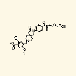 CCOc1cc(C(=O)OC)c(C2CC2)cc1CN1CCC2(CC1)CC(=O)N(c1ccc(C(=O)NCCOCCO)cc1)C2